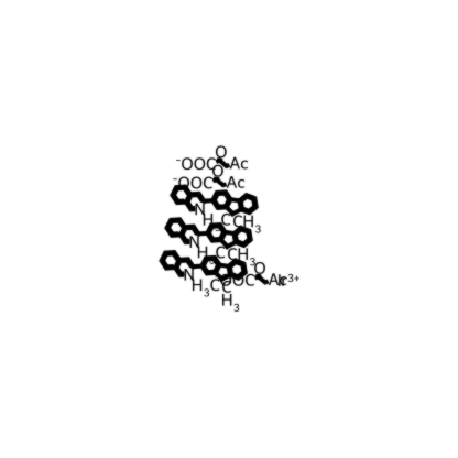 CC(=O)CC(=O)C(=O)[O-].CC(=O)CC(=O)C(=O)[O-].CC(=O)CC(=O)C(=O)[O-].CC1(C)c2ccccc2-c2ccc(-c3cc4ccccc4cn3)cc21.CC1(C)c2ccccc2-c2ccc(-c3cc4ccccc4cn3)cc21.CC1(C)c2ccccc2-c2ccc(-c3cc4ccccc4cn3)cc21.[Ir+3]